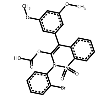 COc1cc(OC)cc(C2=C(OC(=O)O)N(c3ccccc3Br)S(=O)(=O)c3ccccc32)c1